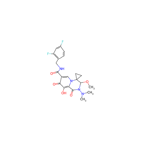 COC1N(N(C)C)C(=O)c2c(O)c(=O)c(C(=O)NCc3ccc(F)cc3F)cn2C12CC2